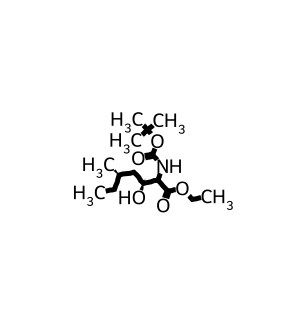 CCOC(=O)C(NC(=O)OC(C)(C)C)[C@@H](O)C[C@@H](C)CC